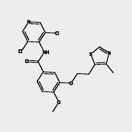 COc1ccc(C(=O)Nc2c(Cl)cncc2Cl)cc1OCCc1scnc1C